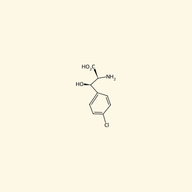 N[C@H](C(=O)O)[C@H](O)c1ccc(Cl)cc1